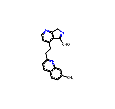 Cc1ccc2ccc(CCc3ccnc4c3C(C=O)=NC4)nc2c1